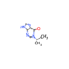 CC(C)n1cnc2[nH]cnc2c1=O